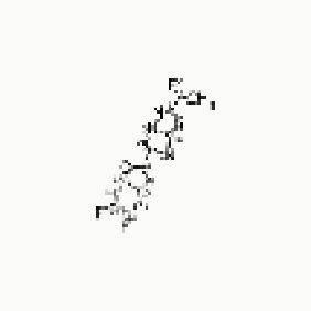 C[C@H](F)c1nn2cc(-c3cc4cc(F)c(F)cc4o3)nc2s1